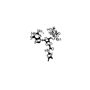 Cc1nc(NC(=O)C2OC3C(COP(=O)(O)OP(=O)(O)OP(=O)(O)O)OC(n4cnc5c(=S)[nH]c(N)nc54)C3O2)sc1C